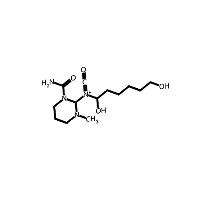 CN1CCCN(C(N)=O)C1[N+](=C=O)C(O)CCCCCO